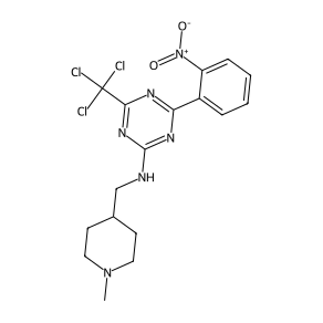 CN1CCC(CNc2nc(-c3ccccc3[N+](=O)[O-])nc(C(Cl)(Cl)Cl)n2)CC1